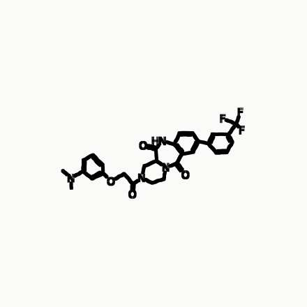 CN(C)c1cccc(OCC(=O)N2CCN3C(=O)c4cc(-c5cccc(C(F)(F)F)c5)ccc4NC(=O)C3C2)c1